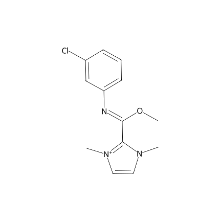 CO/C(=N\c1cccc(Cl)c1)c1n(C)cc[n+]1C